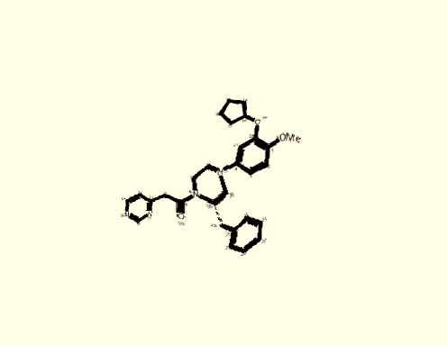 COc1ccc(N2CCN(C(=O)Cc3ccncn3)[C@@H](Cc3ccccc3)C2)cc1OC1CCCC1